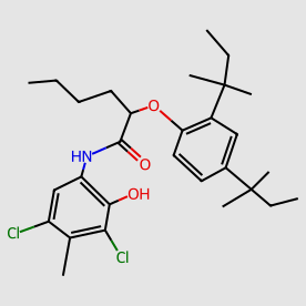 CCCCC(Oc1ccc(C(C)(C)CC)cc1C(C)(C)CC)C(=O)Nc1cc(Cl)c(C)c(Cl)c1O